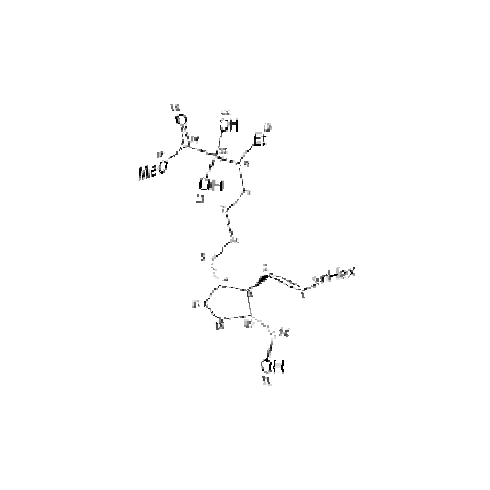 CCCCCCC=C[C@@H]1[C@@H](CCCCC(CC)C(O)(O)C(=O)OC)CC[C@H]1CO